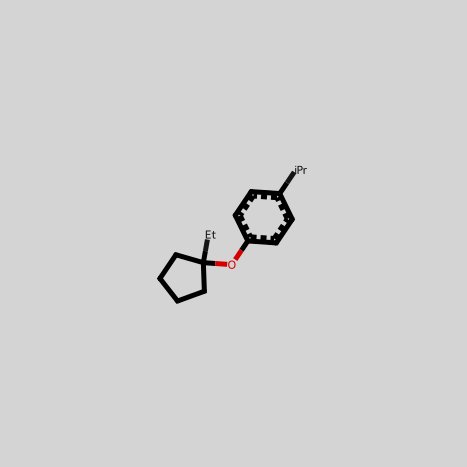 CCC1(Oc2ccc(C(C)C)cc2)CCCC1